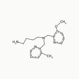 COc1cccnc1CN(CCCCN)Cc1ncccc1C